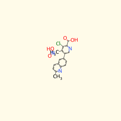 Cc1ccc2cc(-c3cnc(C(=O)O)c(Cl)c3C)ccc2n1.O=NO